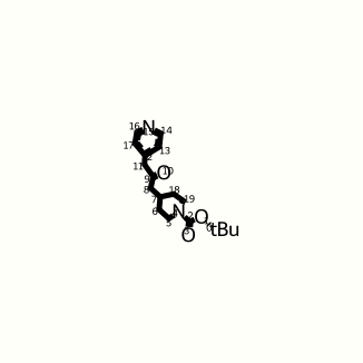 CC(C)(C)OC(=O)N1CCC(CC(=O)Cc2ccncc2)CC1